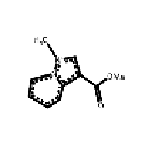 COC(=O)c1c[n+](C)n2ccccc12